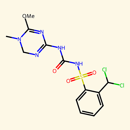 COC1=NC(NC(=O)NS(=O)(=O)c2ccccc2C(Cl)Cl)=NCN1C